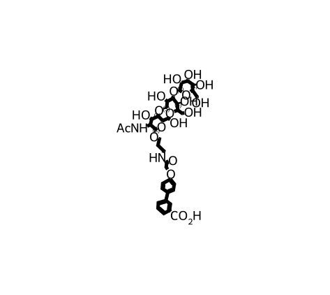 CC(=O)NC1C(O)[C@H](O[C@@H]2OC(CO)[C@H](O)C(O[C@H]3OC(CO)[C@H](O)C(O)C3O)C2O)C(CO)O[C@H]1OCCCNC(=O)COc1ccc(-c2cccc(C(=O)O)c2)cc1